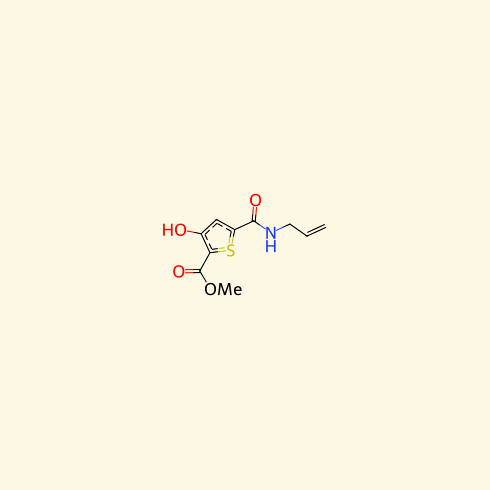 C=CCNC(=O)c1cc(O)c(C(=O)OC)s1